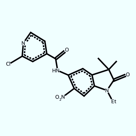 CCN1C(=O)C(C)(C)c2cc(NC(=O)c3ccnc(Cl)c3)c([N+](=O)[O-])cc21